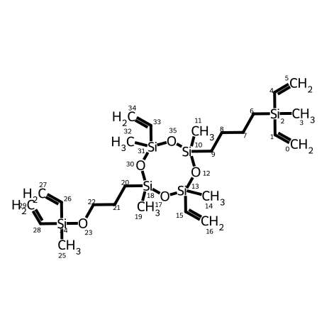 C=C[Si](C)(C=C)CCCC[Si]1(C)O[Si](C)(C=C)O[Si](C)(CCCO[Si](C)(C=C)C=C)O[Si](C)(C=C)O1